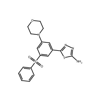 Nc1nnc(-c2cc(N3CCOCC3)cc(S(=O)(=O)c3ccccc3)c2)s1